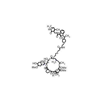 CO[C@H]1C[C@@H](C)C/C(C)=C/[C@@H](CCCSCCC(=O)NCCN2CCC([C@H](C)n3c(C)c(C(=O)NCc4c(C)cc(C)[nH]c4=O)c4ccccc43)CC2)C(=O)C[C@H](O)[C@@H](C)[C@@H](/C(C)=C/[C@@H]2CC[C@@H](O)[C@H](OC)C2)OC(=O)[C@@H]2CCCCN2C(=O)C(O)[C@]2(O)O[C@H]1[C@@H](OC)C[C@H]2C